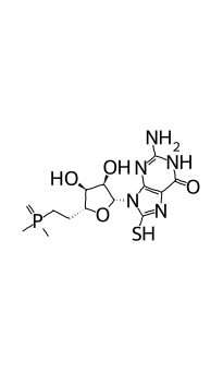 C=P(C)(C)CC[C@H]1O[C@@H](n2c(S)nc3c(=O)[nH]c(N)nc32)[C@H](O)[C@@H]1O